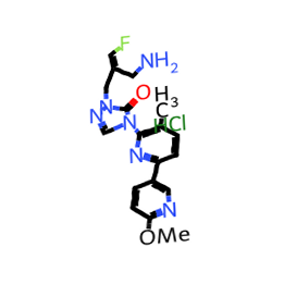 COc1ccc(-c2ccc(C)c(-n3cnn(C/C(=C/F)CN)c3=O)n2)cn1.Cl